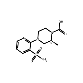 C[C@H]1CN(c2ncccc2S(N)(=O)=O)CCN1C(=O)O